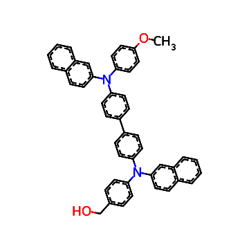 COc1ccc(N(c2ccc(-c3ccc(N(c4ccc(CO)cc4)c4ccc5ccccc5c4)cc3)cc2)c2ccc3ccccc3c2)cc1